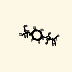 CN[Si](C)(C)c1ccc([SiH](C)C)cc1